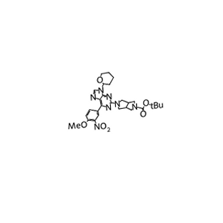 COc1ccc(-c2nc(N3CC4CN(C(=O)OC(C)(C)C)CC4C3)nc3c2ncn3C2CCCCO2)cc1[N+](=O)[O-]